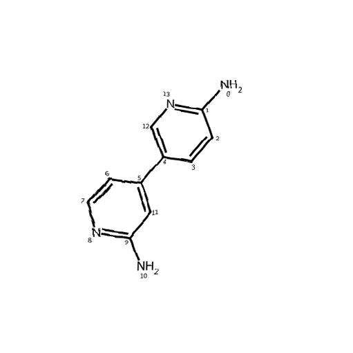 Nc1ccc(-c2ccnc(N)c2)cn1